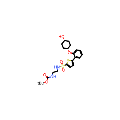 CC(C)(C)OC(=O)NCCNS(=O)(=O)c1ccc(-c2ccccc2O[C@H]2CC[C@@H](O)CC2)s1